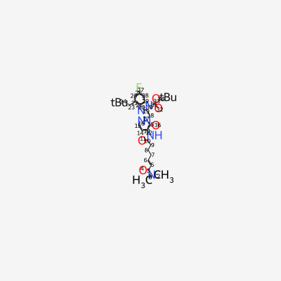 CN(C)C(=O)/C=C/CCCC(=O)Nc1ccnn(Cc2nc3c(CC(C)(C)C)cc(F)cc3n2C(=O)OC(C)(C)C)c1=O